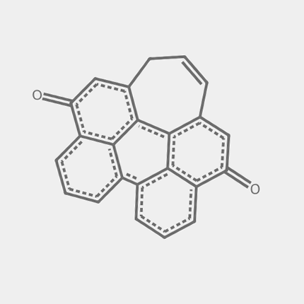 O=c1cc2c3c4c(cc(=O)c5cccc(c6cccc1c63)c54)CC=C2